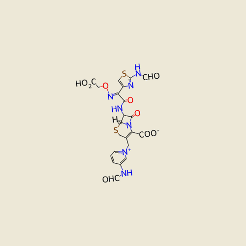 O=CNc1ccc[n+](CC2=C(C(=O)[O-])N3C(=O)C(NC(=O)C(=NOCC(=O)O)c4csc(NC=O)n4)[C@@H]3SC2)c1